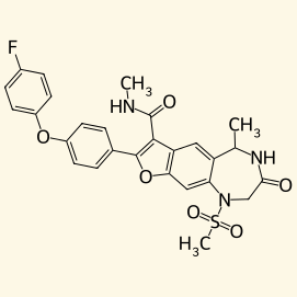 CNC(=O)c1c(-c2ccc(Oc3ccc(F)cc3)cc2)oc2cc3c(cc12)C(C)NC(=O)CN3S(C)(=O)=O